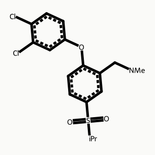 CNCc1cc(S(=O)(=O)C(C)C)ccc1Oc1ccc(Cl)c(Cl)c1